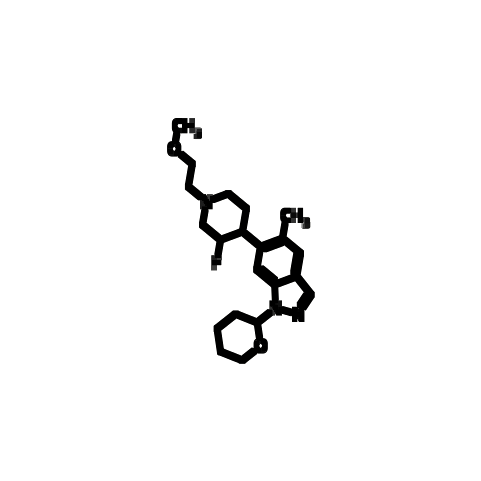 COCCN1CCC(c2cc3c(cnn3C3CCCCO3)cc2C)C(F)C1